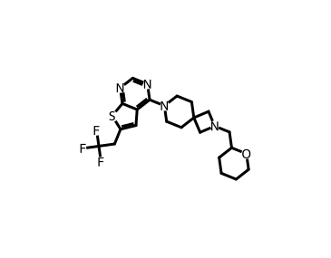 FC(F)(F)Cc1cc2c(N3CCC4(CC3)CN(CC3CCCCO3)C4)ncnc2s1